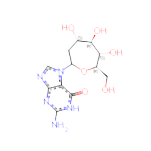 Nc1nc2ncn(C3C[C@H](O)[C@@H](O)[C@H](O)[C@@H](CO)O3)c2c(=O)[nH]1